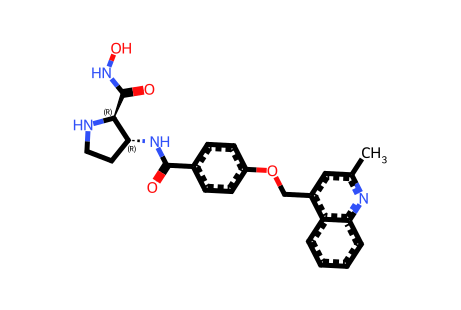 Cc1cc(COc2ccc(C(=O)N[C@@H]3CCN[C@H]3C(=O)NO)cc2)c2ccccc2n1